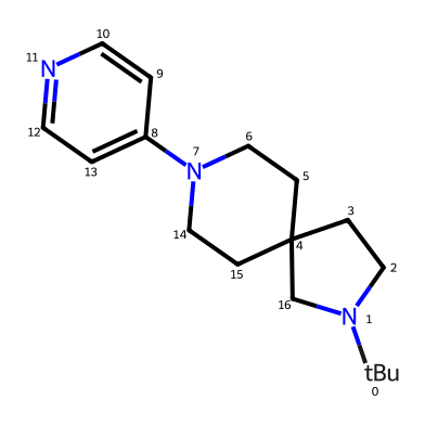 CC(C)(C)N1CCC2(CCN(c3ccncc3)CC2)C1